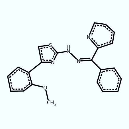 COc1ccccc1-c1csc(NN=C(c2ccccc2)c2ccccn2)n1